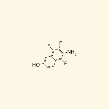 Nc1c(F)c(F)c2cc(O)ccc2c1F